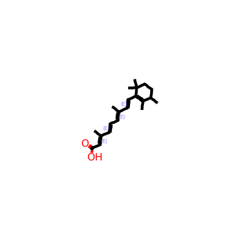 CC1=C(/C=C/C(C)=C/C=C/C(C)=C/C(=O)O)C(C)(C)CCC1C